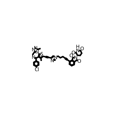 Cc1c(C#Cc2cn(CCCC#Cc3cccc4c3C(=O)N(C3CCC(=O)NC3=O)C4=O)cn2)sc2c1C(c1ccc(Cl)cc1)=NCc1nnc(C)n1-2